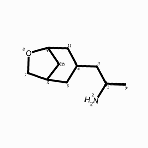 CC(N)CC1CC2COC(C2)C1